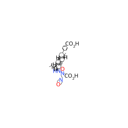 C=C(C)[C@@H]1CC[C@]2(NC(=O)N(CCN3CCOCC3)CC(=O)O)CC[C@]3(C)[C@H](CC[C@@H]4[C@@]5(C)CCC(c6ccc(C(=O)O)cc6)C(C)(C)[C@@H]5CC[C@]43C)[C@@H]12